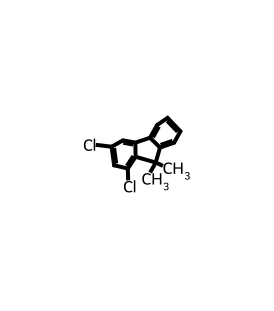 CC1(C)c2ccccc2-c2cc(Cl)cc(Cl)c21